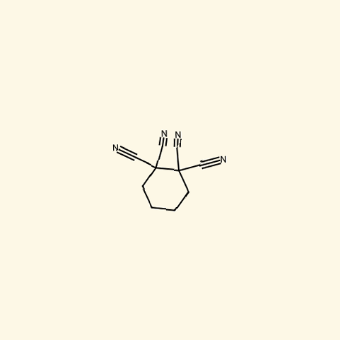 N#CC1(C#N)CCCCC1(C#N)C#N